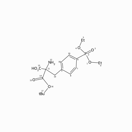 CCOP(=O)(OCC)c1ccc(CC(N)(C(=O)O)C(=O)OC(C)(C)C)cc1